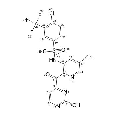 O=C(c1ccnc(O)n1)c1ncc(Cl)cc1NS(=O)(=O)c1ccc(Cl)c(C(F)(F)F)c1